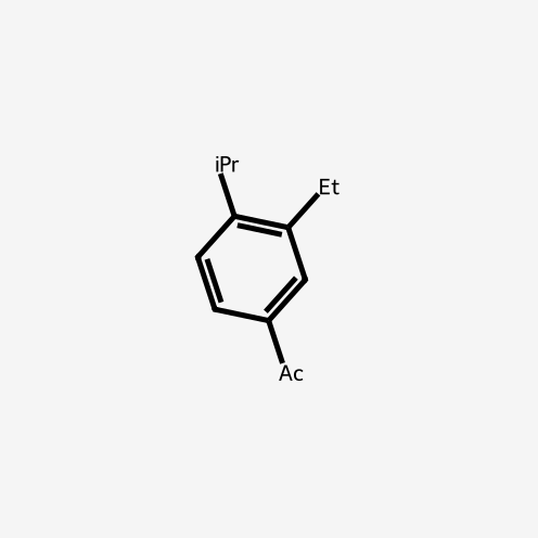 CCc1cc(C(C)=O)ccc1C(C)C